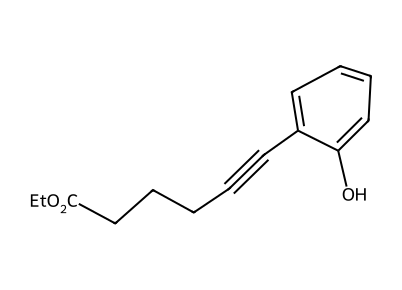 CCOC(=O)CCCC#Cc1ccccc1O